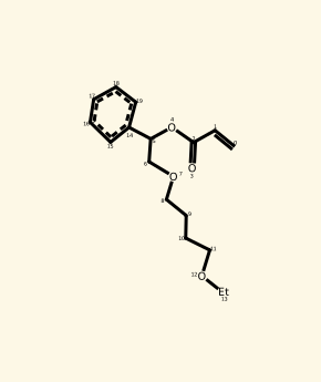 C=CC(=O)OC(COCCCCOCC)c1ccccc1